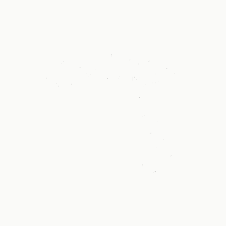 O=C(O)CC[C@@H](Cc1ccc(OCc2cccnc2)cc1)NC(=O)CCCCCCc1ccccc1